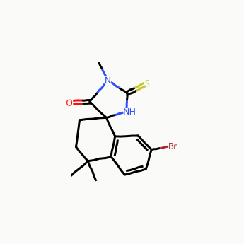 CN1C(=O)C2(CCC(C)(C)c3ccc(Br)cc32)NC1=S